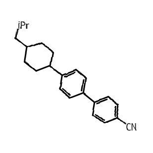 CC(C)CC1CCC(c2ccc(-c3ccc(C#N)cc3)cc2)CC1